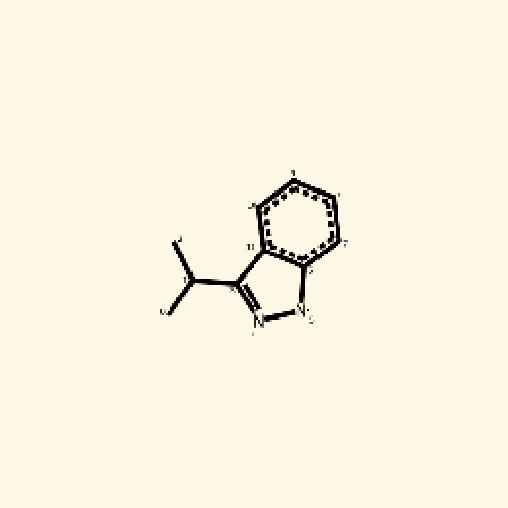 CC(C)C1=N[N]c2ccccc21